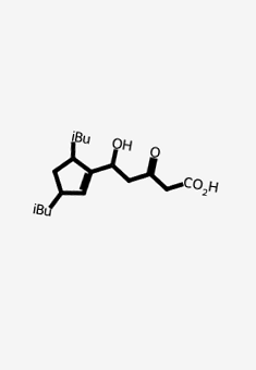 CCC(C)C1C=C(C(O)CC(=O)CC(=O)O)C(C(C)CC)C1